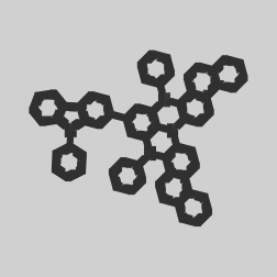 c1ccc(N2c3cc(-c4ccc5c6ccccc6n(-c6ccccc6)c5c4)cc4c3B(c3ccc5c(ccc6ccccc65)c32)c2ccc3c(ccc5ccccc53)c2N4c2ccccc2)cc1